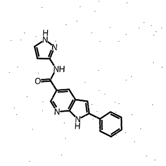 O=C(Nc1cc[nH]n1)c1cnc2[nH]c(-c3ccccc3)cc2c1